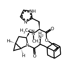 CN(C)[C@@H](Cc1ncc[nH]1)C(=O)OC1=C2C3CC(C1)CC2([C@H](N)C(=O)N1[C@H](C#N)C[C@@H]2C[C@@H]21)C3